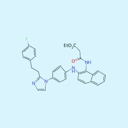 CCOC(=O)CC(=O)Nc1c(Nc2ccc(-n3ccnc3CCc3ccc(F)cc3)cc2)ccc2ccccc12